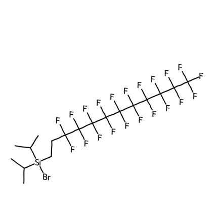 CC(C)[Si](Br)(CCC(F)(F)C(F)(F)C(F)(F)C(F)(F)C(F)(F)C(F)(F)C(F)(F)C(F)(F)C(F)(F)C(F)(F)F)C(C)C